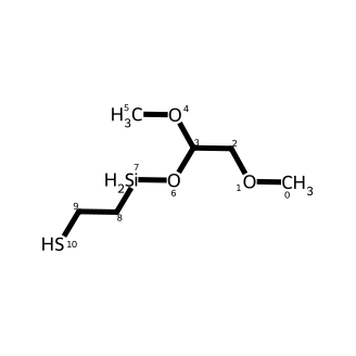 COCC(OC)O[SiH2]CCS